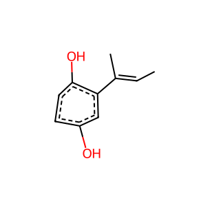 C/C=C(\C)c1cc(O)ccc1O